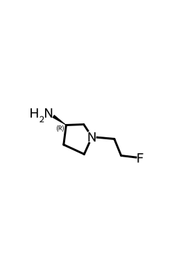 N[C@@H]1CCN(CCF)C1